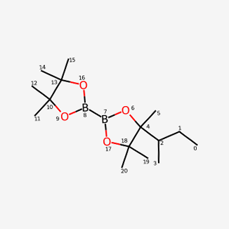 CCC(C)C1(C)OB(B2OC(C)(C)C(C)(C)O2)OC1(C)C